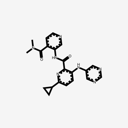 CN(C)C(=O)c1ccncc1NC(=O)c1nc(C2CC2)ccc1Nc1cncnc1